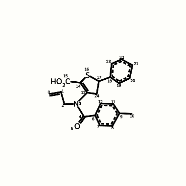 C=CCN(C(=O)c1ccc(C)cc1)C1=C(C(=O)O)SC(c2ccccc2)C1